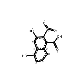 O=C(O)c1c(I(=O)=O)c(O)cc2c(O)cccc12